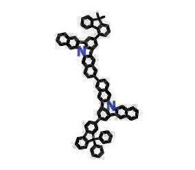 CC1(C)c2ccccc2-c2c(-c3cc4c5cc6ccccc6cc5n5c6cc7ccc(-c8ccc9cc%10c(cc9c8)c8cc(-c9ccc%11c(c9)C(c9ccccc9)(c9ccccc9)c9ccccc9-%11)cc9c%11cc%12ccccc%12cc%11n%10c98)cc7cc6c(c3)c45)cccc21